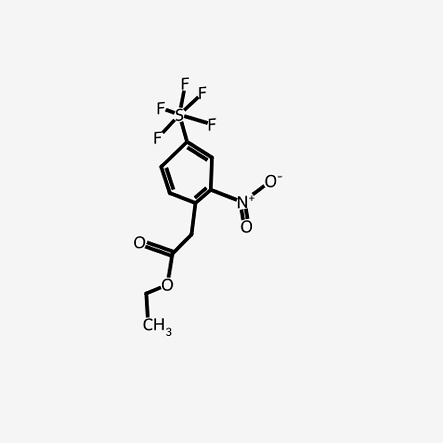 CCOC(=O)Cc1ccc(S(F)(F)(F)(F)F)cc1[N+](=O)[O-]